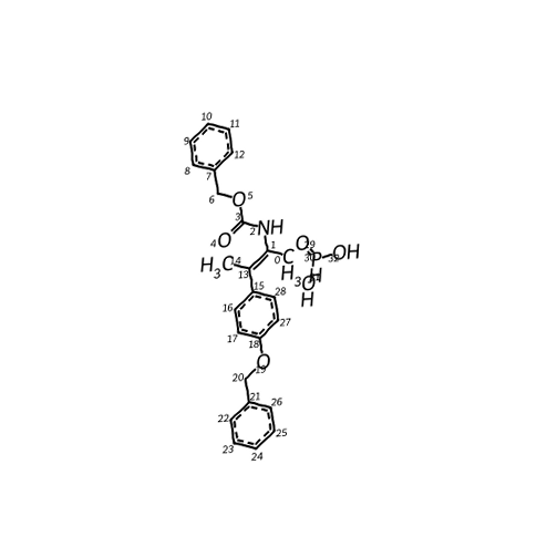 CC(NC(=O)OCc1ccccc1)=C(C)c1ccc(OCc2ccccc2)cc1.O=[PH](O)O